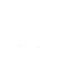 COCC=O.Cl